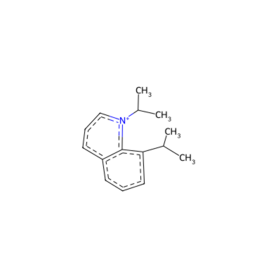 CC(C)c1cccc2ccc[n+](C(C)C)c12